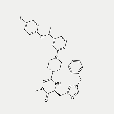 COC(=O)[C@H](Cc1cn(Cc2ccccc2)cn1)NC(=O)C1CCN(c2cccc(C(C)Oc3ccc(F)cc3)c2)CC1